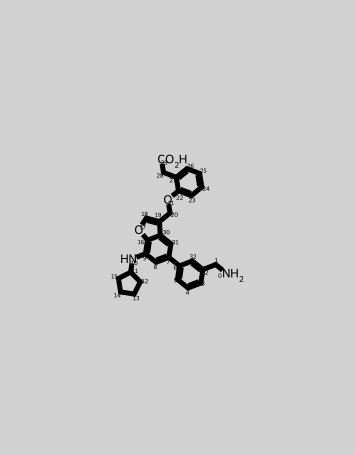 NCc1cccc(-c2cc(NC3CCCC3)c3occ(COc4ccccc4CC(=O)O)c3c2)c1